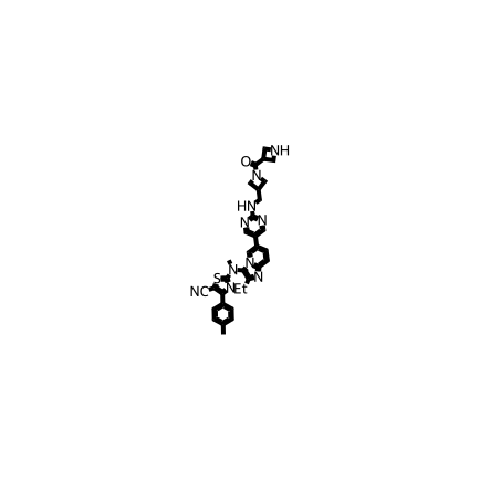 CCc1nc2ccc(-c3cnc(NCC4CN(C(=O)C5CNC5)C4)nc3)cn2c1N(C)c1nc(-c2ccc(C)cc2)c(C#N)s1